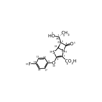 C[C@@H](O)[C@H]1C(=O)N2C(C(=O)O)=C(Oc3ccc(F)cc3)SC12